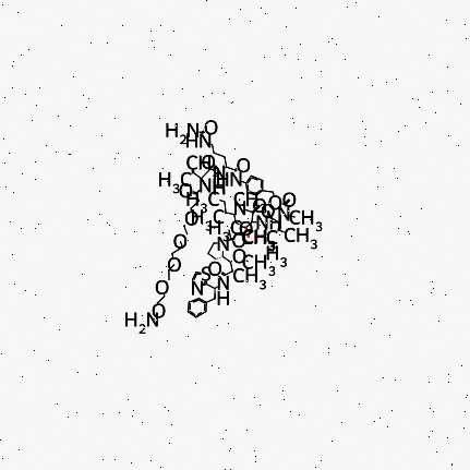 C=C(C)[C@H](NC(=O)CCOCCOCCOCCOCCON)C(=O)NC(CCCNC(N)=O)C(=O)Nc1ccc(COC(=O)N(C)[C@H](C(=O)NC(C(=O)N(C)C([C@@H](C)CC)[C@@H](CC(=O)N2CCC[C@H]2[C@H](OC)[C@@H](C)C(=O)N[C@@H](Cc2ccccc2)c2nccs2)OC)C(C)C)C(C)C)cc1